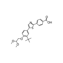 COC(COc1ccc(-c2cnc(-c3ccc(C(=O)O)cc3)s2)cc1C(C)(C)C)OC